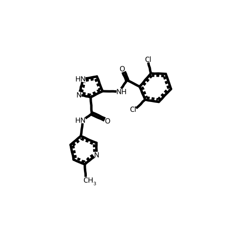 Cc1ccc(NC(=O)c2n[nH]cc2NC(=O)c2c(Cl)cccc2Cl)cn1